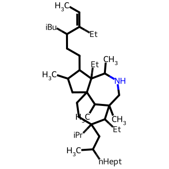 C/C=C(/CC)C(CCC1C(C)CC23CCC(CC(C)CCCCCCC)(C(C)C)C(CC)C(C)(CNC(C)C12CC)C3C)C(C)CC